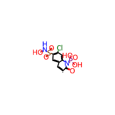 O=c1[c]cc2cc(S(=O)(=O)NO)c(Cl)cc2n1P(=O)(O)O